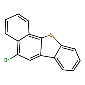 Brc1cc2c3ccccc3sc2c2ccccc12